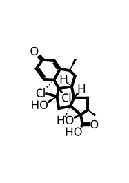 C[C@@H]1C[C@H]2[C@@H]3C[C@H](C)C4=CC(=O)C=C[C@]4(C)[C@@]3(Cl)[C@@](O)(Cl)C[C@]2(C)[C@@]1(O)C(=O)O